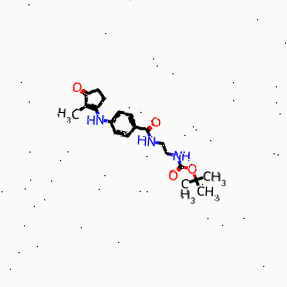 CC1=C(Nc2ccc(C(=O)NCCNC(=O)OC(C)(C)C)cc2)CCC1=O